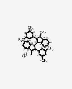 CC1=C(c2cc(C(F)(F)F)cc(C(F)(F)F)c2)C(C2=C(c3cc(C(F)(F)F)cc(C(F)(F)F)c3)[CH]([Zr+2])c3ccccc32)c2ccccc21.[Cl-].[Cl-]